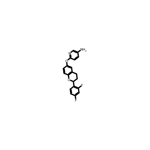 Nc1ccc(Oc2ccc3c(c2)CCC(c2ccc(F)cc2F)O3)nc1